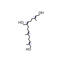 C/C(=C\CC/C(C)=C/CC/C(=C\CC/C(C)=C/CO)CO)CO